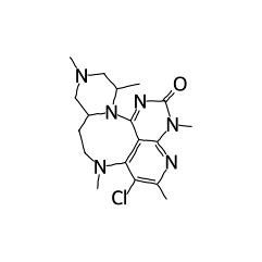 Cc1nc2c3c(nc(=O)n2C)N2C(C)CN(C)CC2CCN(C)c3c1Cl